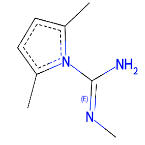 C/N=C(\N)n1c(C)ccc1C